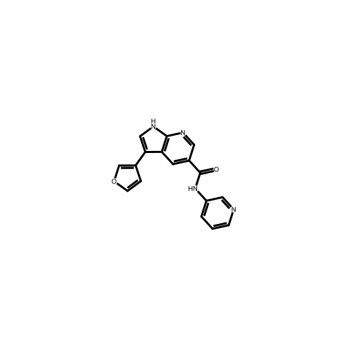 O=C(Nc1cccnc1)c1cnc2[nH]cc(-c3ccoc3)c2c1